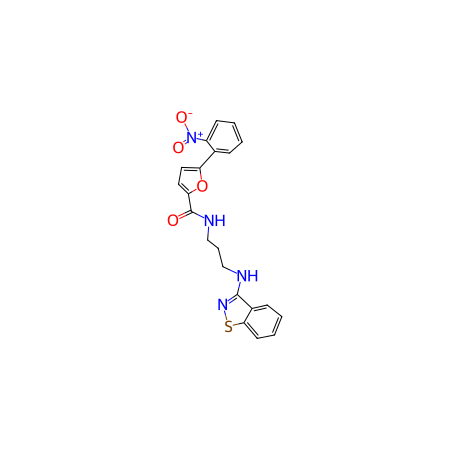 O=C(NCCCNc1nsc2ccccc12)c1ccc(-c2ccccc2[N+](=O)[O-])o1